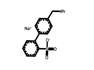 CC(C)Cc1ccc(-c2ccccc2S(=O)(=O)[O-])cc1.[Na+]